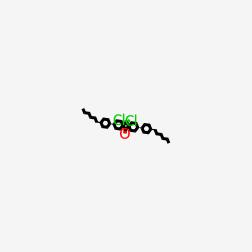 CCCCCC[C@H]1CC[C@H](C2CCC3(CC2)C(=O)C2(CCC([C@H]4CC[C@H](CCCCCC)CC4)CC2)C3(Cl)Cl)CC1